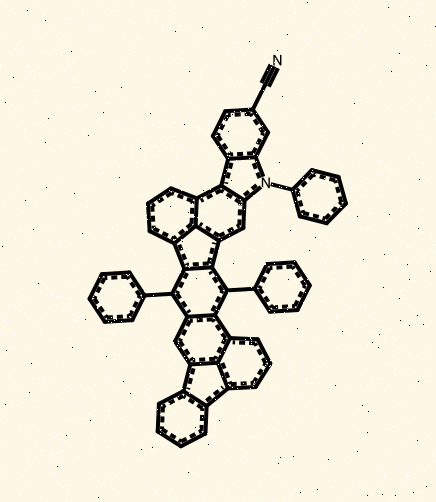 N#Cc1ccc2c3c4cccc5c6c(-c7ccccc7)c7cc8c9ccccc9c9cccc(c7c(-c7ccccc7)c6c(cc3n(-c3ccccc3)c2c1)c54)c98